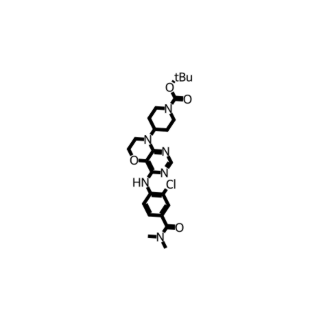 CN(C)C(=O)c1ccc(Nc2ncnc3c2OCCN3C2CCN(C(=O)OC(C)(C)C)CC2)c(Cl)c1